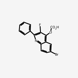 O=C(O)Oc1c(F)c(-c2ccccc2)nc2ccc(Br)cc12